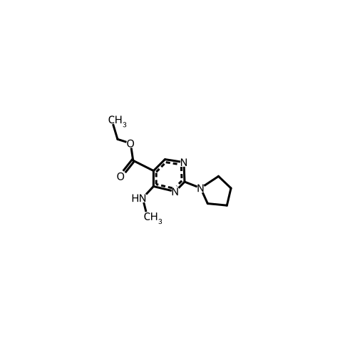 CCOC(=O)c1cnc(N2CCCC2)nc1NC